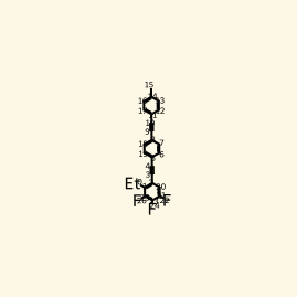 CCc1c(C#Cc2ccc(C#Cc3ccc(C)cc3)cc2)cc(F)c(F)c1F